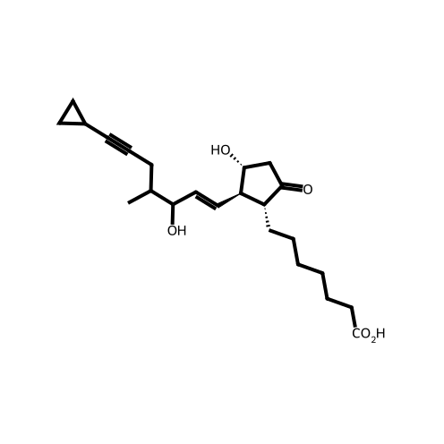 CC(CC#CC1CC1)C(O)/C=C/[C@H]1[C@H](O)CC(=O)[C@@H]1CCCCCCC(=O)O